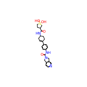 O=C(NC1CC=C(c2ccc(NC(=O)N3Cc4ccncc4C3)cc2)CC1)C1CCS(O)(O)C1